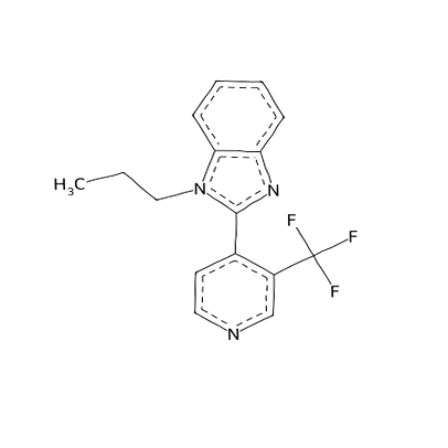 CCCn1c(-c2ccncc2C(F)(F)F)nc2ccccc21